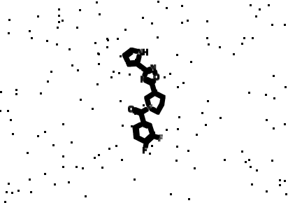 O=C(c1ccc(F)c(F)c1)N1CCCC(c2nc(-c3ccc[nH]3)no2)C1